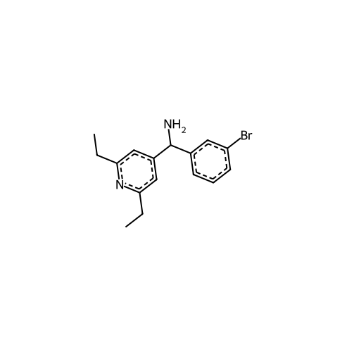 CCc1cc(C(N)c2cccc(Br)c2)cc(CC)n1